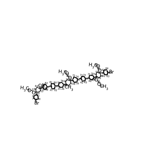 COCOC1(c2ccc(Br)cc2)CCC(C)(c2ccc(-c3ccc(-c4ccc(C5(C)CCC(OCOC)(c6ccc(-c7ccc(-c8ccc(C9(OCOC)CCC(OCOC)(c%10ccc(Br)cc%10)CC9)cc8)cc7)cc6)CC5)cc4)cc3)cc2)CC1